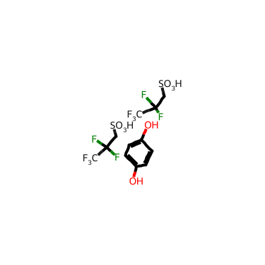 O=S(=O)(O)CC(F)(F)C(F)(F)F.O=S(=O)(O)CC(F)(F)C(F)(F)F.Oc1ccc(O)cc1